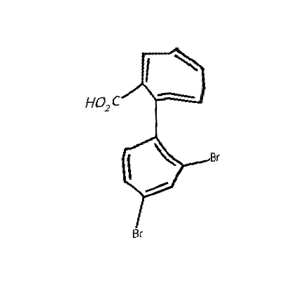 O=C(O)c1ccccc1-c1ccc(Br)cc1Br